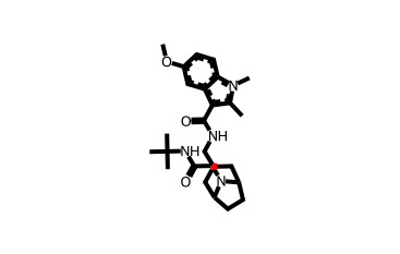 COc1ccc2c(c1)c(C(=O)NCC1CC3CCC(C1)N3CC(=O)NC(C)(C)C)c(C)n2C